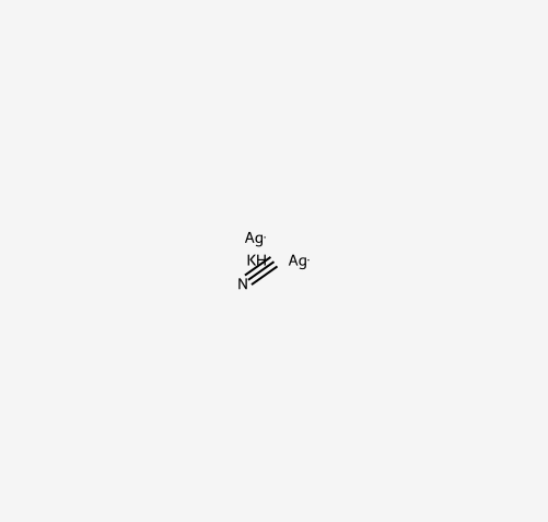 C#N.[Ag].[Ag].[KH]